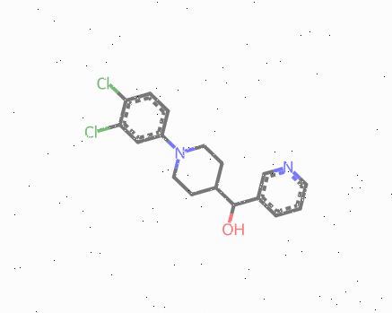 OC(c1cccnc1)C1CCN(c2ccc(Cl)c(Cl)c2)CC1